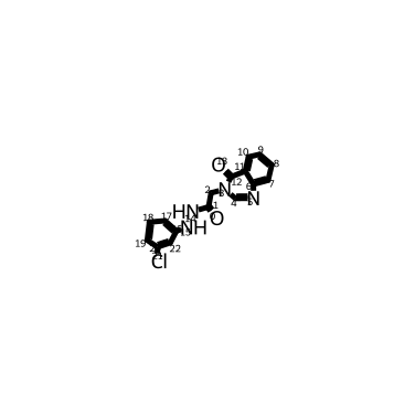 O=C(Cn1cnc2ccccc2c1=O)NNc1cccc(Cl)c1